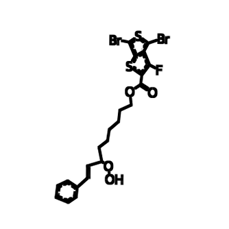 O=C(OCCCCCCC(C=Cc1ccccc1)OO)c1sc2c(Br)sc(Br)c2c1F